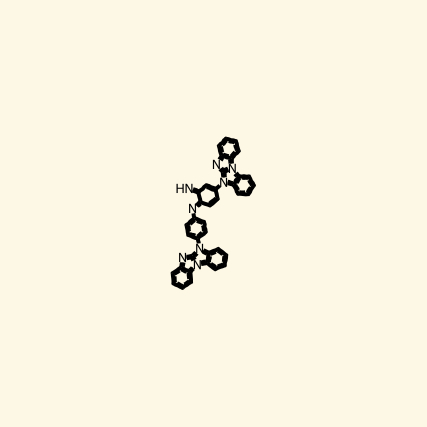 N=C1C=C(n2c3ccccc3n3c4ccccc4nc23)C=C/C1=N\c1ccc(-n2c3ccccc3n3c4ccccc4nc23)cc1